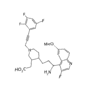 COc1ccc2ncc(F)c(C(N)CCC3CCN(CC#Cc4cc(F)cc(F)c4F)CC3CC(=O)O)c2c1